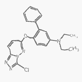 CCN(CC)c1ccc(Oc2ccc3nnc(Cl)n3n2)c(-c2ccccc2)c1